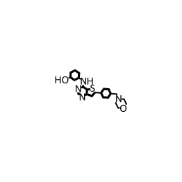 Oc1cccc(Nc2ncnc3cc(-c4ccc(CN5CCOCC5)cc4)sc23)c1